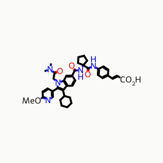 COc1ccc(-c2c(C3CCCCC3)c3ccc(C(=O)NC4(C(=O)Nc5ccc(C=CC(=O)O)cc5)CCCC4)cc3n2CC(=O)N(C)C)cn1